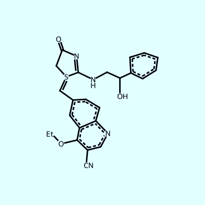 CCOc1c(C#N)cnc2ccc(/C=S3/CC(=O)N=C3NCC(O)c3ccccc3)cc12